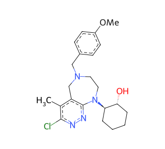 COc1ccc(CN2CCN([C@@H]3CCCC[C@H]3O)c3nnc(Cl)c(C)c3C2)cc1